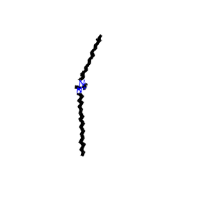 CCCCCCCCCCCCCCCCCCC[n+]1ccn(CCCCCCCCCCCCCC)c1C